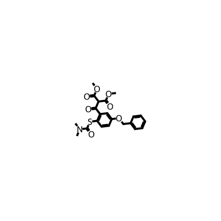 COC(=O)C(C(=O)OC)C(=O)c1cc(OCc2ccccc2)ccc1SC(=O)N(C)C